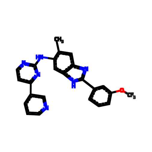 Cc1cc2nc(-c3cccc(OC(F)(F)F)c3)[nH]c2cc1Nc1nccc(-c2cccnc2)n1